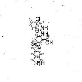 Cc1cccc(C(C)NC(=O)Nc2ccc(S(=O)(=O)Cc3ccc4c(c3)CCNC4)cc2C(=O)O)c1Cl